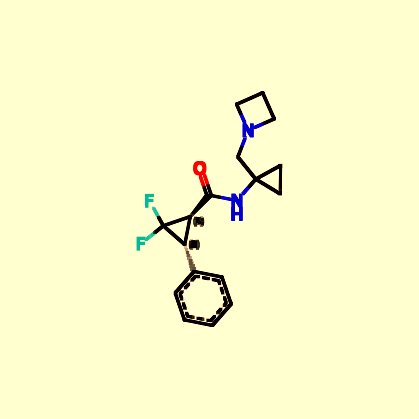 O=C(NC1(CN2CCC2)CC1)[C@H]1[C@H](c2ccccc2)C1(F)F